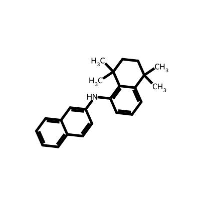 CC1(C)CCC(C)(C)c2c(Nc3ccc4ccccc4c3)cccc21